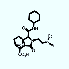 CCN(CC)CCN1C(=O)C2C(C(=O)O)C3CCC2(O3)C1C(=O)NC1CCCCC1